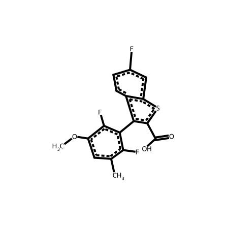 COc1cc(C)c(F)c(-c2c(C(=O)O)sc3cc(F)ccc23)c1F